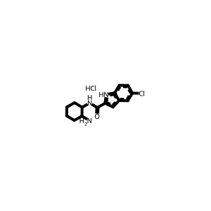 Cl.NC1CCCCC1NC(=O)c1cc2cc(Cl)ccc2[nH]1